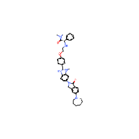 CN(C)C(=O)C(NCCOc1ccc(C2Nc3ccc(N4Cc5cc(N6CCCCCC6)ccc5C4=O)cc3N2C)cc1)c1ccccc1